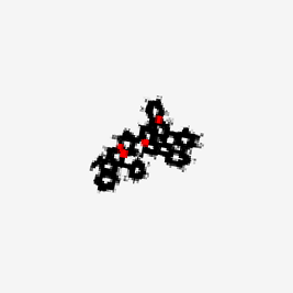 CC1(C)c2ccccc2-c2c(-c3ccccc3N(c3ccc4c(c3)-c3ccccc3C43c4ccccc4-c4ccccc43)c3ccccc3-c3ccc4oc5ccccc5c4c3)cccc21